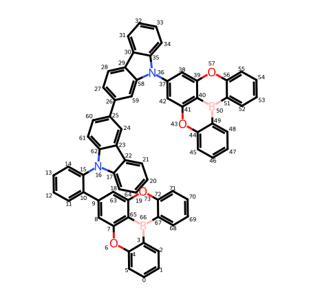 c1ccc2c(c1)Oc1cc(-c3ccccc3-n3c4ccccc4c4cc(-c5ccc6c7ccccc7n(-c7cc8c9c(c7)Oc7ccccc7B9c7ccccc7O8)c6c5)ccc43)cc3c1B2c1ccccc1O3